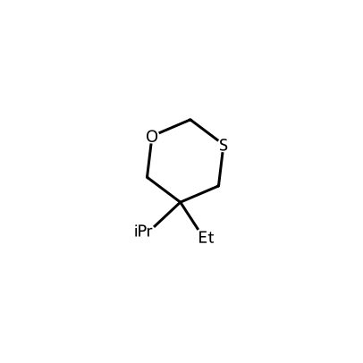 CCC1(C(C)C)COCSC1